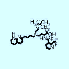 CC(C)(C)OCCN(CCCCc1ccc2c(n1)NCCC2)CCC(NC(=O)c1cccnc1C(F)(F)F)C(=O)O